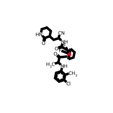 Cc1c(Cl)cccc1NC(C)C(=O)N1C2CCC(C1C(=O)NC(C#N)CC1CCCNC1=O)C(F)(F)C2